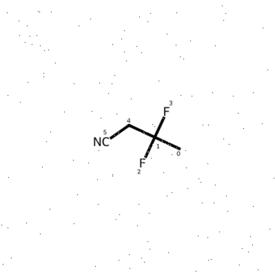 CC(F)(F)CC#N